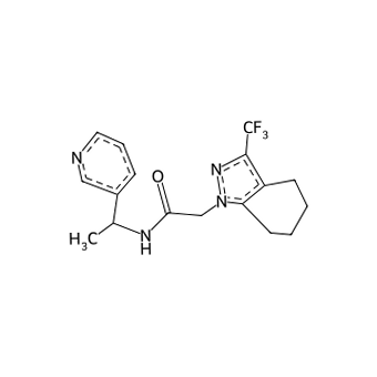 CC(NC(=O)Cn1nc(C(F)(F)F)c2c1CCCC2)c1cccnc1